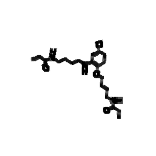 C=CC(=O)NCCCCNc1cc(Cl)ccc1OCCCCNC(=O)C=C